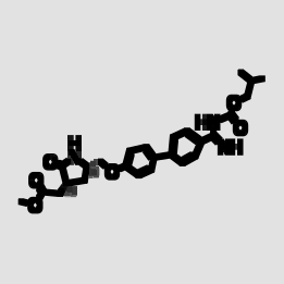 COC(=O)C[C@@H]1C[C@@H](COc2ccc(-c3ccc(C(=N)NC(=O)OCC(C)C)cc3)cc2)NC1=O